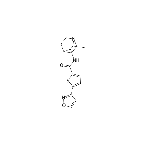 CC1C(NC(=O)c2ccc(-c3ccon3)s2)C2CCN1CC2